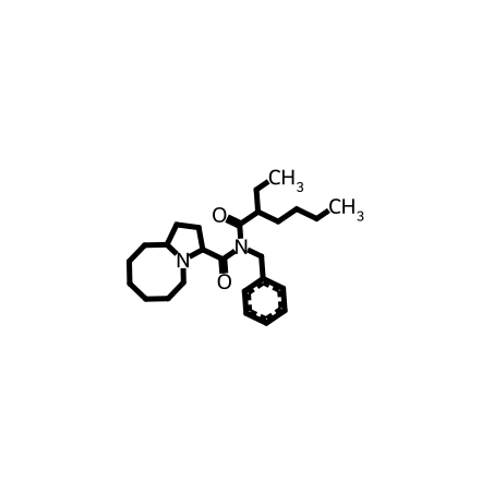 CCCCC(CC)C(=O)N(Cc1ccccc1)C(=O)C1CCC2CCCCCCN21